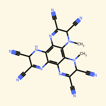 CN1c2c(c3c(c4c2N(C)C(C#N)C(C#N)=N4)NC(C#N)C(C#N)=N3)N=C(C#N)C1C#N